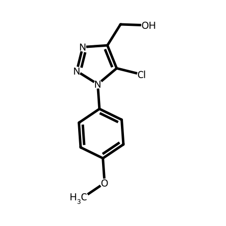 COc1ccc(-n2nnc(CO)c2Cl)cc1